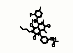 CCCCn1c(=O)c2c(Nc3ccc(C)cc3F)n(C)c(=O)c(C)c2n(-c2cccc(NC(C)=O)c2)c1=O